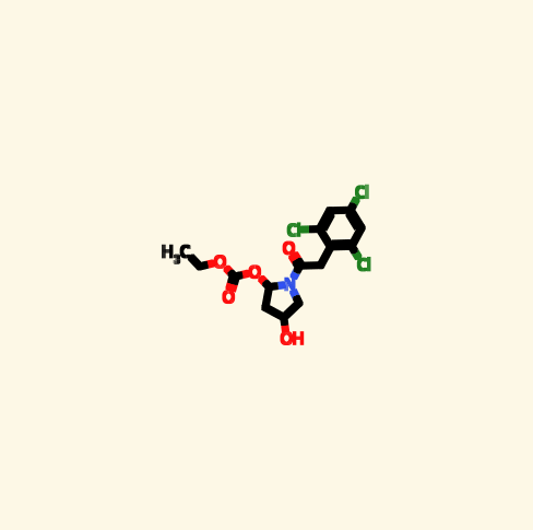 CCOC(=O)OC1CC(O)CN1C(=O)Cc1c(Cl)cc(Cl)cc1Cl